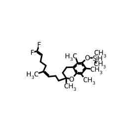 CC(=CCCC1(C)CCc2c(C)c(O[SiH](C)C)c(C)c(C)c2O1)CCC=C(F)F